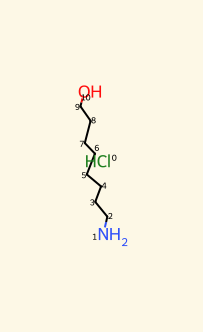 Cl.NCCCCCCCCO